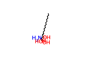 CCCCCCCCCCCCC/C=C/C(O)C(N)C(O)OO